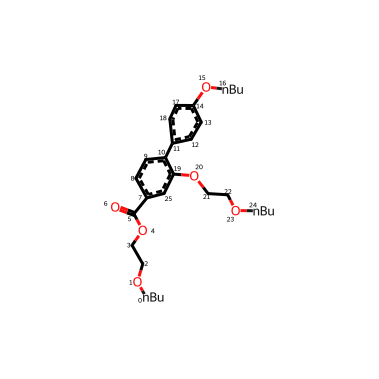 CCCCOCCOC(=O)c1ccc(-c2ccc(OCCCC)cc2)c(OCCOCCCC)c1